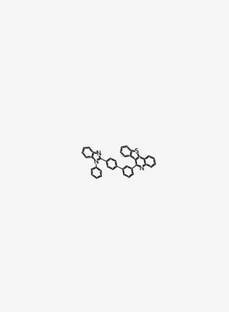 c1ccc(-n2c(-c3ccc(-c4cccc(-c5nc6ccccc6c6sc7ccccc7c56)c4)cc3)nc3ccccc32)cc1